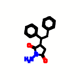 NN1C(=O)CC(C(Cc2ccccc2)c2ccccc2)C1=O